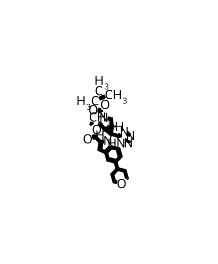 CCOC(=O)c1cc2cc(C3CCOCC3)ccc2n1C1(c2nnn[nH]2)[C@@H]2CN(C(=O)OC(C)(C)C)C[C@@H]21